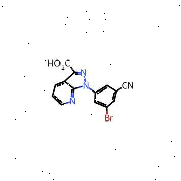 N#Cc1cc(Br)cc(-n2nc(C(=O)O)c3cccnc32)c1